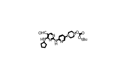 CC(C)(C)OC(=O)ON1CCN(c2ccc(Nc3ncc(C=O)c(NC4CCCC4)n3)nc2)CC1